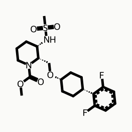 COC(=O)N1CCC[C@H](NS(C)(=O)=O)[C@@H]1CO[C@H]1CC[C@@H](c2c(F)cccc2F)CC1